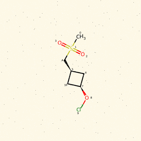 CS(=O)(=O)C[C@H]1C[C@@H](OCl)C1